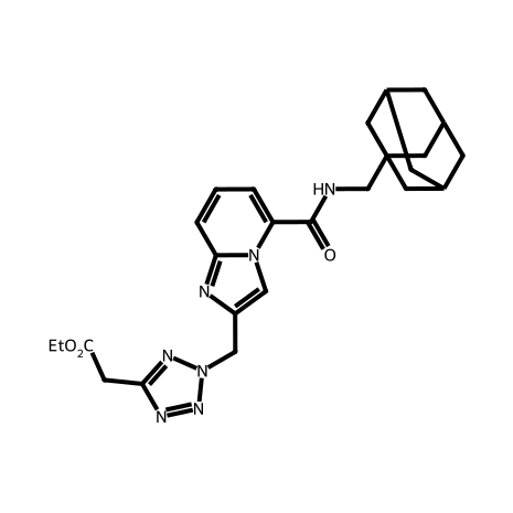 CCOC(=O)Cc1nnn(Cc2cn3c(C(=O)NCC45CC6CC(CC(C6)C4)C5)cccc3n2)n1